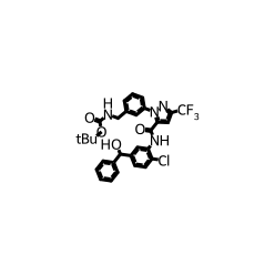 CC(C)(C)OC(=O)NCc1cccc(-n2nc(C(F)(F)F)cc2C(=O)Nc2cc(C(O)c3ccccc3)ccc2Cl)c1